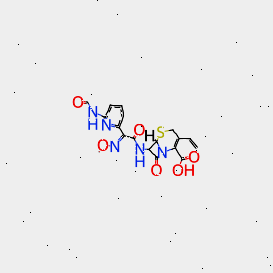 C=CC1=C(C(=O)O)N2C(=O)C(NC(=O)C(=NOC)c3cccc(NC=O)n3)[C@@H]2SC1